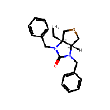 CC[C@@]12CSC[C@@H]1N(Cc1ccccc1)C(=O)N2Cc1ccccc1